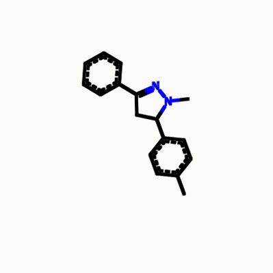 Cc1ccc(C2CC(c3ccccc3)=NN2C)cc1